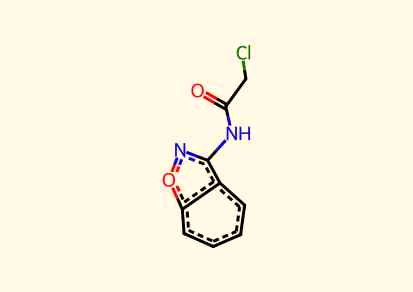 O=C(CCl)Nc1noc2ccccc12